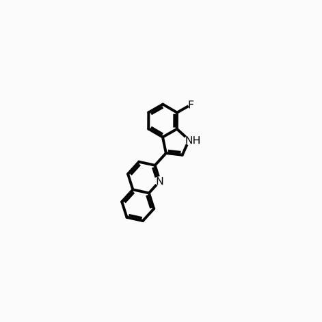 Fc1cccc2c(-c3ccc4ccccc4n3)c[nH]c12